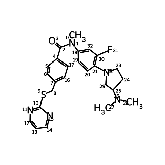 CN(C(=O)c1ccc(CSc2ncccn2)cc1)c1ccc(N2CCC(N(C)C)C2)c(F)c1